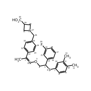 CC(=NOCC(Sc1ccc(C)c(C)c1)c1cccc(F)c1)c1ccc(CN2CC(C(=O)O)C2)cc1